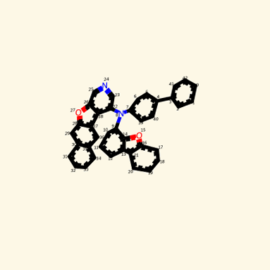 c1ccc(-c2ccc(N(c3cccc4c3oc3ccccc34)c3cncc4oc5cc6ccccc6cc5c34)cc2)cc1